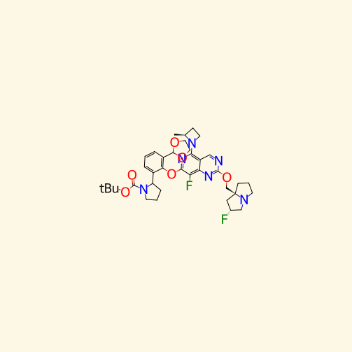 C[C@H]1CCN1c1nc(Oc2c(C3OCCO3)cccc2C2CCCN2C(=O)OC(C)(C)C)c(F)c2nc(OC[C@@]34CCCN3C[C@H](F)C4)ncc12